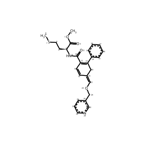 COC(=O)[C@H](CCSC)NC(=O)C1=C(c2ccccc2)CC(=COCc2cccnc2)C=C1